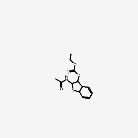 CCOC(=O)OC1C(NC(C)=O)SC2C=CC=CC21